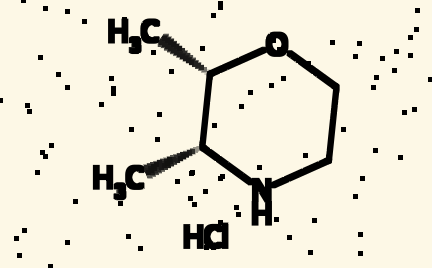 C[C@@H]1OCCN[C@@H]1C.Cl